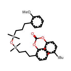 COc1ccccc1CCC[Si](C)(C)O[Si](C)(C)CCCc1ccccc1OC(=O)Oc1ccc(C(C)(C)C)cc1